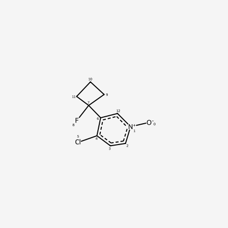 [O-][n+]1ccc(Cl)c(C2(F)CCC2)c1